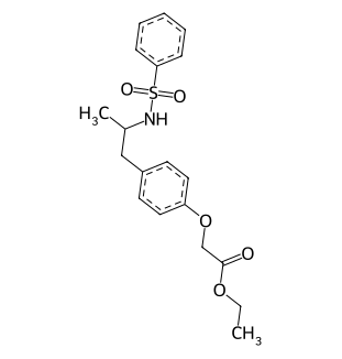 CCOC(=O)COc1ccc(CC(C)NS(=O)(=O)c2ccccc2)cc1